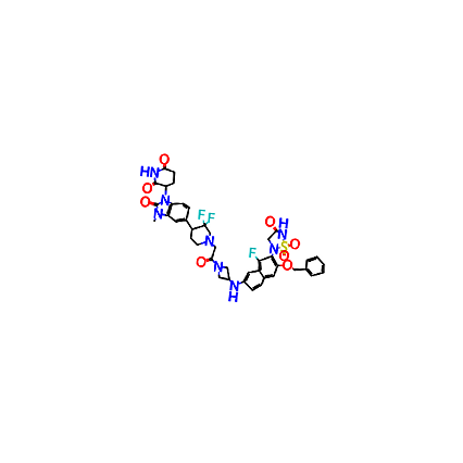 Cn1c(=O)n(C2CCC(=O)NC2=O)c2ccc(C3CCN(CC(=O)N4CC(Nc5ccc6cc(OCc7ccccc7)c(N7CC(=O)NS7(=O)=O)c(F)c6c5)C4)CC3(F)F)cc21